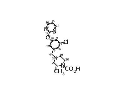 C[C@@H]1CN(Cc2cc(Cl)cc(Oc3ncccn3)c2)CCN1C(=O)O